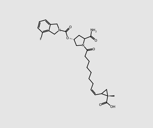 C[C@]1(C(=O)O)CC1/C=C\CCCCCCC(=O)N1C[C@H](OC(=O)N2Cc3cccc(F)c3C2)CC1C(N)=O